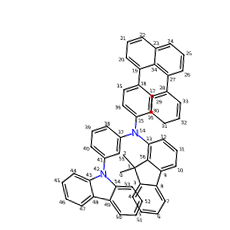 CC1(C)c2ccccc2-c2cccc(N(c3ccc(-c4cccc5cccc(C6=CCCC=C6)c45)cc3)c3cccc(-n4c5ccccc5c5ccccc54)c3)c21